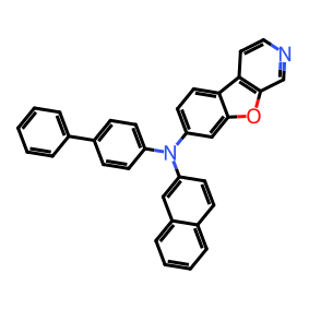 c1ccc(-c2ccc(N(c3ccc4ccccc4c3)c3ccc4c(c3)oc3cnccc34)cc2)cc1